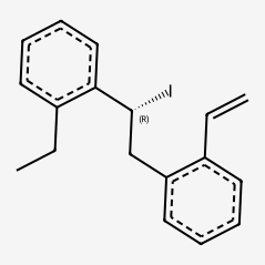 C=Cc1ccccc1C[C@@H](I)c1ccccc1CC